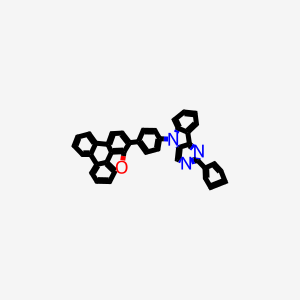 c1ccc(-c2ncc3c(n2)c2ccccc2n3-c2ccc(-c3ccc4c5ccccc5c5cccc6oc3c4c65)cc2)cc1